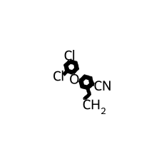 C=CCc1cc(Oc2ccc(Cl)cc2Cl)ccc1C#N